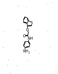 Nc1ccc(NC(=O)COc2csc3ccccc23)cc1